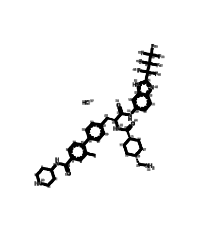 Cc1cc(C(=O)NC2CCNCC2)ccc1-c1ccc(C[C@H](NC(=O)[C@H]2CC[C@H](CN)CC2)C(=O)Nc2ccc3nc(C(F)(F)C(F)(F)C(F)(F)F)[nH]c3c2)cc1.Cl